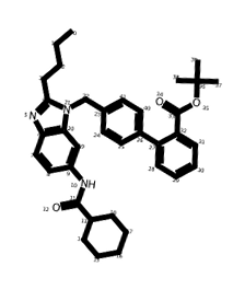 CCCCc1nc2ccc(NC(=O)C3CCCCC3)cc2n1Cc1ccc(-c2ccccc2C(=O)OC(C)(C)C)cc1